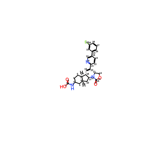 O=C(O)NC1CC[C@@H]2[C@@H](C1)C[C@H](N1CCOC1=O)[C@H]2/C=C/c1ccc(-c2cccc(F)c2)cn1